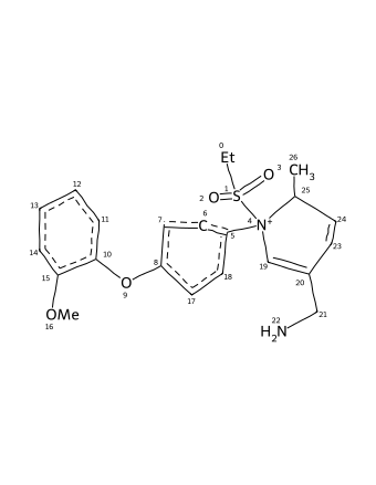 CCS(=O)(=O)[N+]1(c2ccc(Oc3ccccc3OC)cc2)C=C(CN)C=CC1C